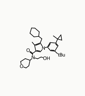 Cc1c(C(=O)N(CCO)C2CCOCC2)cn(-c2cc(C(C)(C)C)cc(C3(C)CC3)c2)c1CC1CCCCC1